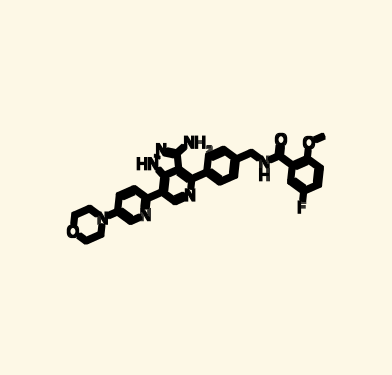 COc1ccc(F)cc1C(=O)NCc1ccc(-c2ncc(-c3ccc(N4CCOCC4)cn3)c3[nH]nc(N)c23)cc1